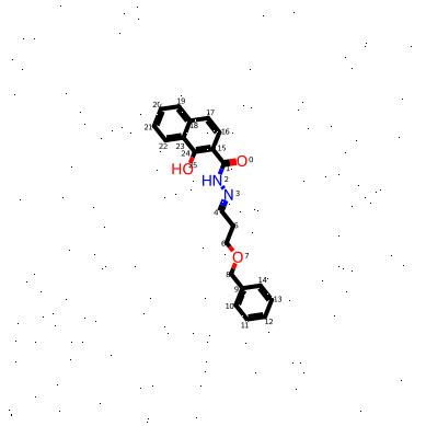 O=C(N/N=C/CCOCc1ccccc1)c1ccc2ccccc2c1O